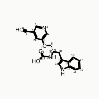 C#Cc1cncc(OC[C@H](Cc2c[nH]c3ccccc23)NC(=O)O)c1